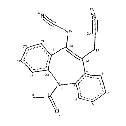 CC(=O)N1c2ccccc2C(CC#N)=C(CC#N)c2ccccc21